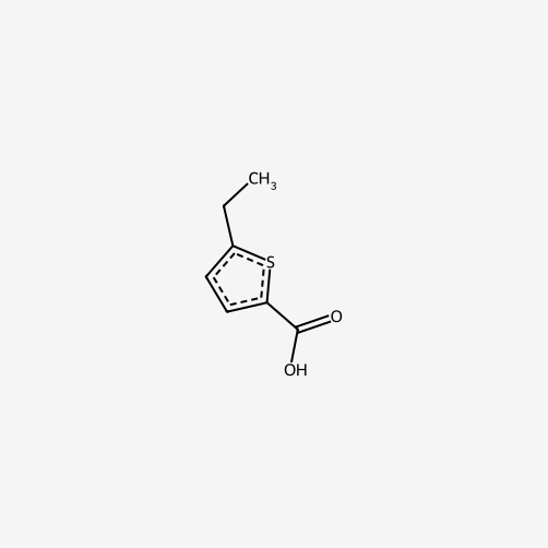 CCc1ccc(C(=O)O)s1